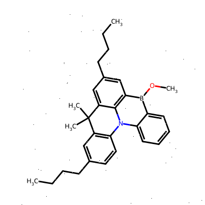 CCCCc1ccc2c(c1)C(C)(C)c1cc(CCCC)cc3c1N2c1ccccc1B3OC